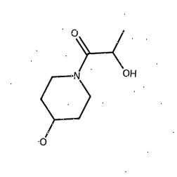 CC(O)C(=O)N1CCC([O])CC1